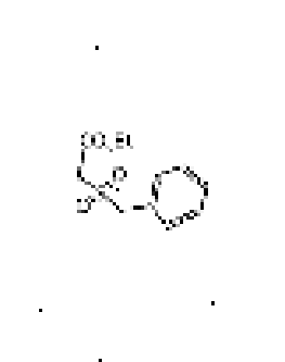 CCOC(=O)CS(=O)(=O)Cc1ccccc1